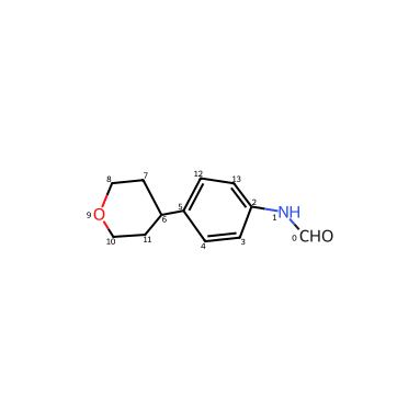 O=CNc1ccc(C2CCOCC2)cc1